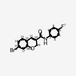 O=C(Nc1ccc(F)cc1)C1=Cc2ccc(Br)cc2OC1